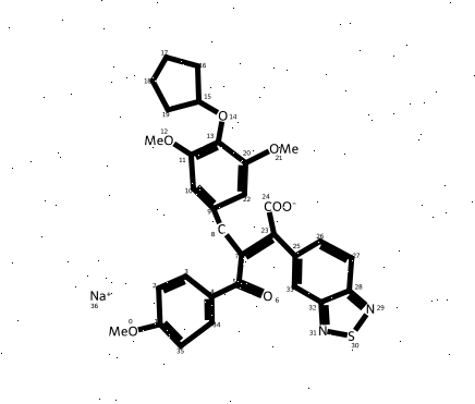 COc1ccc(C(=O)C(Cc2cc(OC)c(OC3CCCC3)c(OC)c2)=C(C(=O)[O-])c2ccc3nsnc3c2)cc1.[Na+]